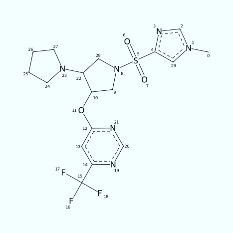 Cn1cnc(S(=O)(=O)N2CC(Oc3cc(C(F)(F)F)ncn3)C(N3CCCC3)C2)c1